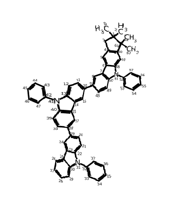 CC1(C)Cc2cc3c4cc(-c5ccc6c(c5)c5cc(-c7ccc8c(c7)c7ccccc7n8-c7ccccc7)ccc5n6-c5ccccc5)ccc4n(-c4ccccc4)c3cc2C1(C)C